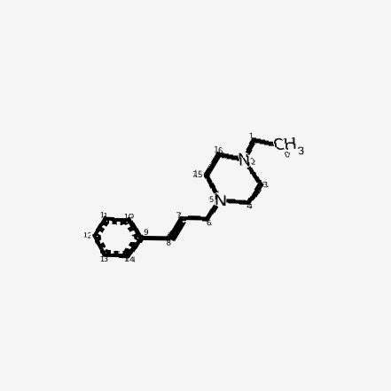 CCN1CCN(C/C=C/c2ccccc2)CC1